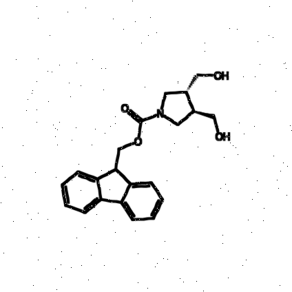 O=C(OCC1c2ccccc2-c2ccccc21)N1C[C@H](CO)[C@@H](CO)C1